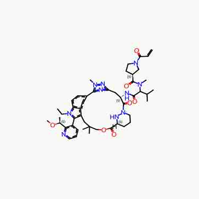 C=CC(=O)N1CC[C@H](C(=O)N(C)C(C(=O)N[C@H]2Cc3nc(n(C)n3)-c3ccc4c(c3)c(c(-c3cccnc3[C@H](C)OC)n4CC)CC(C)(C)COC(=O)[C@@H]3CCCN(N3)C2=O)C(C)C)C1